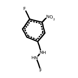 O=[N+]([O-])c1cc(NNF)ccc1F